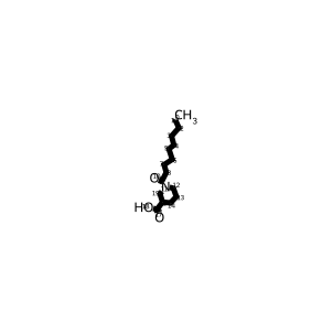 CCCCCCCCCC(=O)N1CCCC(C(=O)O)C1